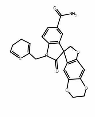 NC(=O)c1ccc2c(c1)C1(COc3cc4c(cc31)OCCO4)C(=O)N2CC1=CCCC=N1